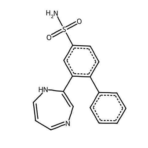 NS(=O)(=O)c1ccc(-c2ccccc2)c(C2=CN=CC=CN2)c1